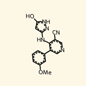 COc1cccc(-c2cncc(C#N)c2Nc2cc(O)[nH]n2)c1